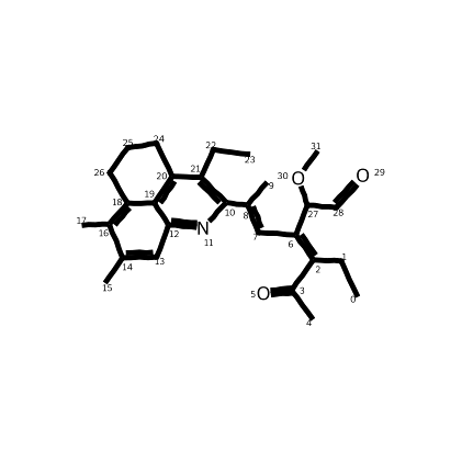 CC/C(C(C)=O)=C(/C=C(\C)c1nc2cc(C)c(C)c3c2c(c1CC)CCC3)C(C=O)OC